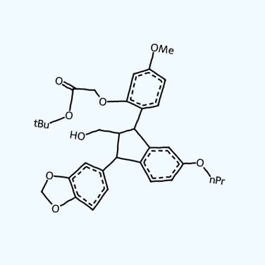 CCCOc1ccc2c(c1)C(c1ccc(OC)cc1OCC(=O)OC(C)(C)C)C(CO)C2c1ccc2c(c1)OCO2